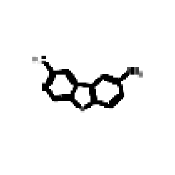 Cc1cc2c(cn1)[nH]c1ccc(N)cc12